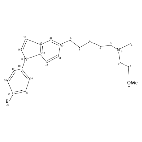 COCCN(C)CCCCCc1ccc2c(ccn2-c2ccc(Br)cc2)c1